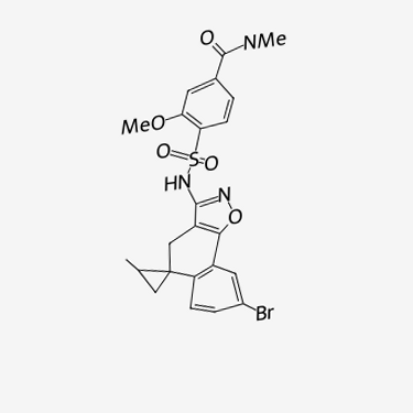 CNC(=O)c1ccc(S(=O)(=O)Nc2noc3c2CC2(CC2C)c2ccc(Br)cc2-3)c(OC)c1